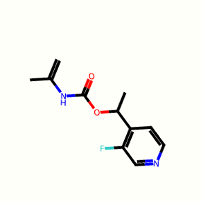 C=C(C)NC(=O)OC(C)c1ccncc1F